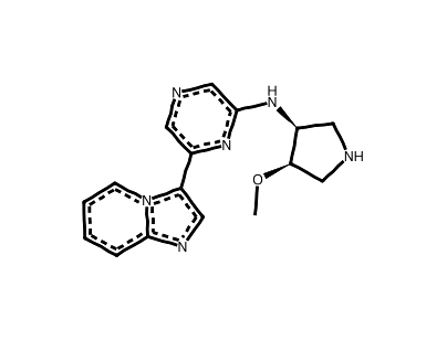 CO[C@@H]1CNC[C@@H]1Nc1cncc(-c2cnc3ccccn23)n1